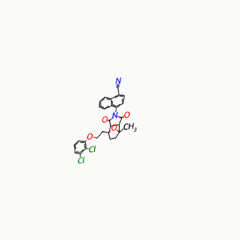 CC12CCC(CCOc3cccc(Cl)c3Cl)(O1)C1C(=O)N(c3ccc(C#N)c4ccccc34)C(=O)C12